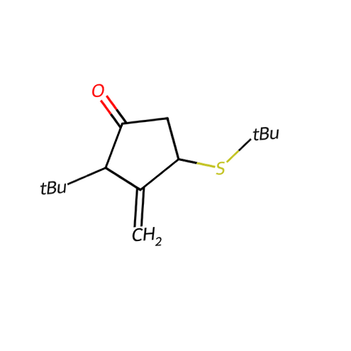 C=C1C(SC(C)(C)C)CC(=O)C1C(C)(C)C